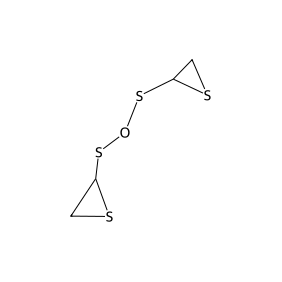 C1SC1SOSC1CS1